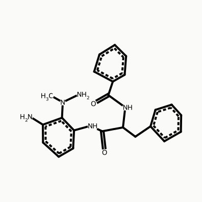 CN(N)c1c(N)cccc1NC(=O)C(Cc1ccccc1)NC(=O)c1ccccc1